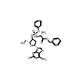 Nc1nc(Cl)nc2c1ncn2[C@H]1CC(OP(=O)(N[C@H](N)C(=O)OCc2ccccc2)Oc2ccccc2)[C@@H](CO)O1